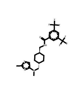 Cc1nc(N(C)C[C@H]2CC[C@H](CNC(=O)c3cc(C(F)(F)F)cc(C(F)(F)F)c3)CC2)cs1